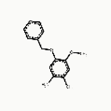 COc1cc(C)c(N)cc1OCc1ccccc1